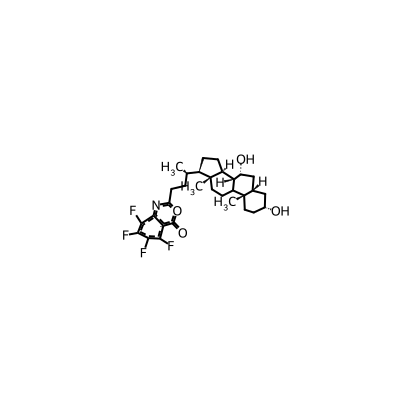 C[C@H](CCc1nc2c(F)c(F)c(F)c(F)c2c(=O)o1)[C@H]1CC[C@H]2[C@H]3C(CC[C@]12C)[C@@]1(C)CC[C@@H](O)C[C@H]1C[C@H]3O